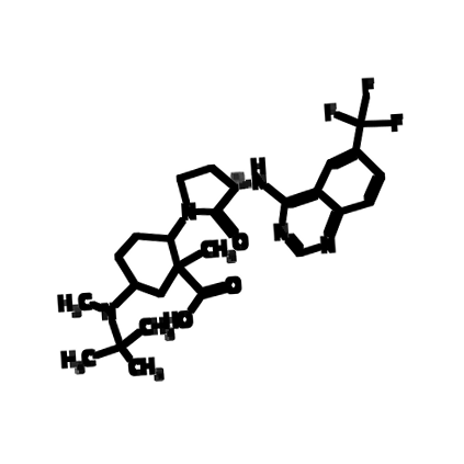 CN(C1CCC(N2CC[C@H](Nc3ncnc4ccc(C(F)(F)F)cc34)C2=O)C(C)(C(=O)O)C1)C(C)(C)C